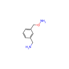 NCc1cccc(CON)c1